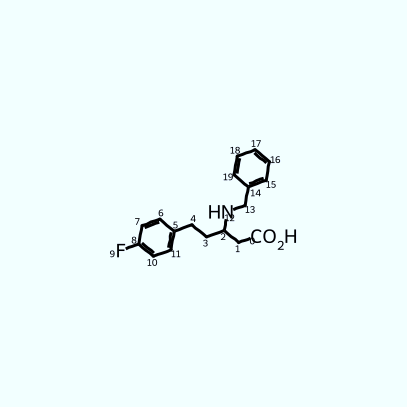 O=C(O)CC(CCc1ccc(F)cc1)NCc1ccccc1